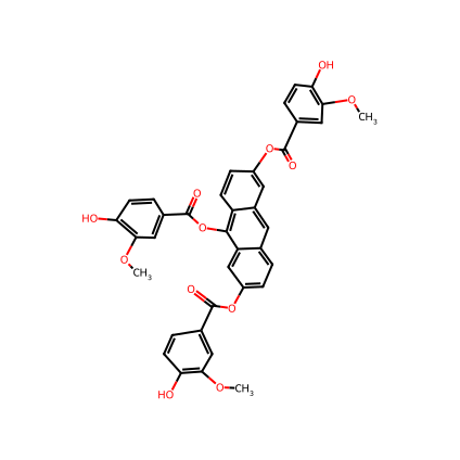 COc1cc(C(=O)Oc2ccc3c(OC(=O)c4ccc(O)c(OC)c4)c4cc(OC(=O)c5ccc(O)c(OC)c5)ccc4cc3c2)ccc1O